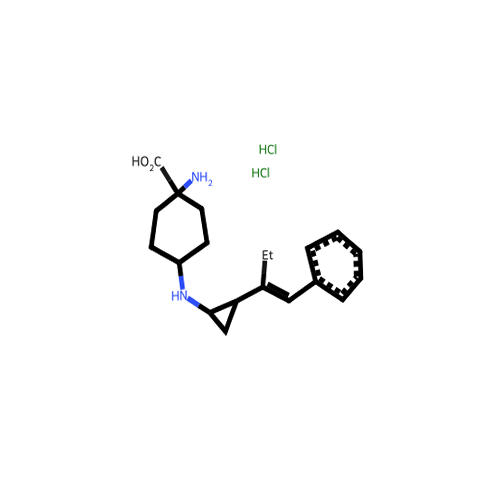 CC/C(=C\c1ccccc1)C1CC1NC1CCC(N)(C(=O)O)CC1.Cl.Cl